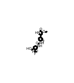 CCOc1cc(-c2ccc(NC(=O)Nc3ccc(CO)c(C(F)(F)F)c3)c(F)c2)c[nH]c1=O